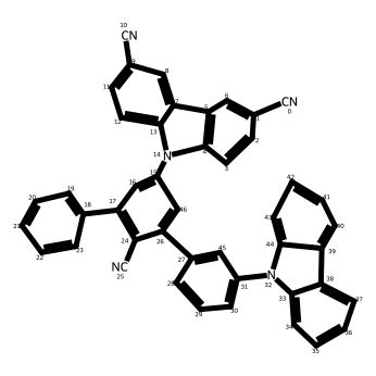 N#Cc1ccc2c(c1)c1cc(C#N)ccc1n2-c1cc(-c2ccccc2)c(C#N)c(-c2cccc(-n3c4ccccc4c4ccccc43)c2)c1